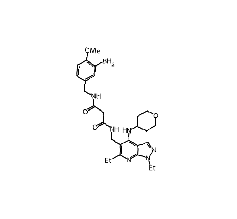 Bc1cc(CNC(=O)CC(=O)NCc2c(CC)nc3c(cnn3CC)c2NC2CCOCC2)ccc1OC